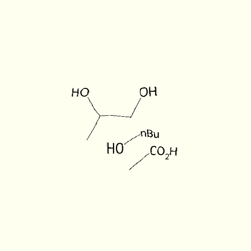 CC(=O)O.CC(O)CO.CCCCO